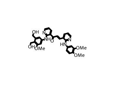 COc1ccc(Nc2ncccc2/C=C/C(=O)c2cccnc2Nc2cc(CO)c(CO)c(OC)c2)cc1OC